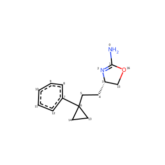 NC1=N[C@@H](CCC2(c3ccccc3)CC2)CO1